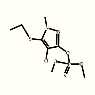 CCSc1c(Cl)c(OP(=S)(OC)OC)nn1C